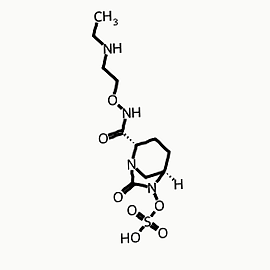 CCNCCONC(=O)[C@@H]1CC[C@@H]2CN1C(=O)N2OS(=O)(=O)O